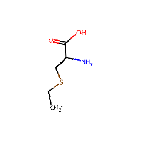 [CH2]CSCC(N)C(=O)O